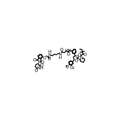 CCC(C)(C)C(=O)C(=O)N1CCCC[C@H]1C(=O)OC(CCc1ccc(OC)c(OC)c1)c1cccc(NC(=O)CCC(=O)NCCCCNC(=O)COc2cccc3c2C(=O)N(C2CCC(=O)NC2=O)C3=O)c1